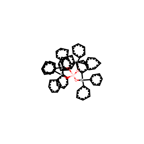 c1ccc([Si](O[B-](O[Si](c2ccccc2)(c2ccccc2)c2ccccc2)(O[Si](c2ccccc2)(c2ccccc2)c2ccccc2)O[Si](c2ccccc2)(c2ccccc2)c2ccccc2)(c2ccccc2)c2ccccc2)cc1